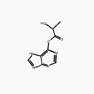 CC(O)C(=O)Oc1ncnc2nc[nH]c12